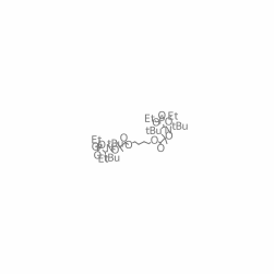 CCOP(=O)(OCC)C(N(OC(C)(C)C(=O)OCCCCOC(=O)C(C)(C)ON(C(C(C)(C)C)P(=O)(OCC)OCC)C(C)(C)C)C(C)(C)C)C(C)(C)C